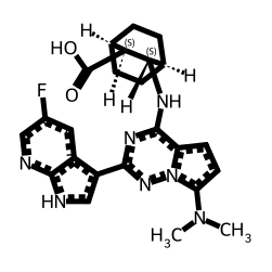 CN(C)c1ccc2c(N[C@H]3[C@H]4CC[C@H](CC4)[C@@H]3C(=O)O)nc(-c3c[nH]c4ncc(F)cc34)nn12